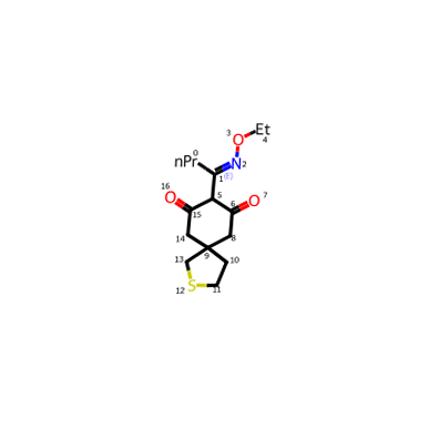 CCC/C(=N\OCC)C1C(=O)CC2(CCSC2)CC1=O